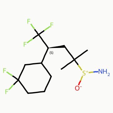 CC(C)(C[C@@H](C1CCCC(F)(F)C1)C(F)(F)F)[S+](N)[O-]